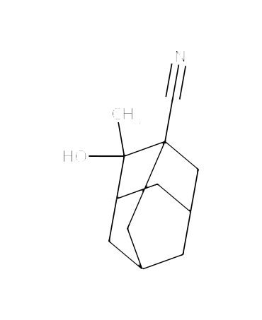 CC1(O)[C]2CC3CC(C2)CC1(C#N)C3